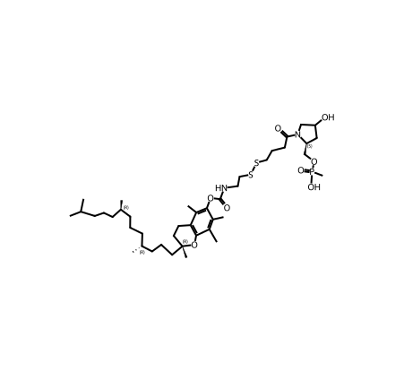 Cc1c(C)c2c(c(C)c1OC(=O)NCCSSCCCC(=O)N1CC(O)C[C@H]1COP(C)(=O)O)CC[C@@](C)(CCC[C@H](C)CCC[C@H](C)CCCC(C)C)O2